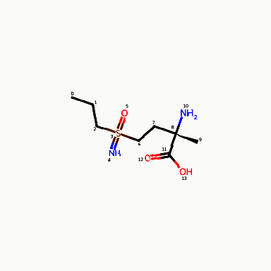 CCCS(=N)(=O)CC[C@](C)(N)C(=O)O